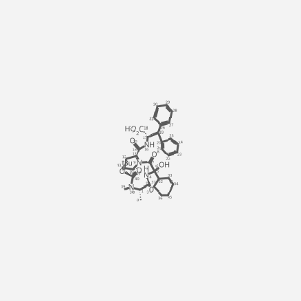 C[C@@H](C(=O)NC(O)(C(=O)N1CCC[C@H]1C(=O)N[C@H](C(=O)O)C(c1ccccc1)c1ccccc1)C1CCCCC1)N(C)C(=O)OC(C)(C)C